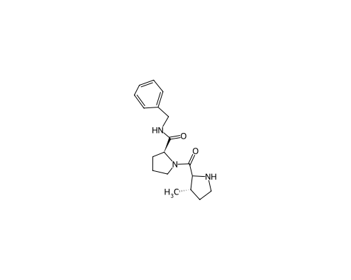 C[C@H]1CCNC1C(=O)N1CCC[C@H]1C(=O)NCc1ccccc1